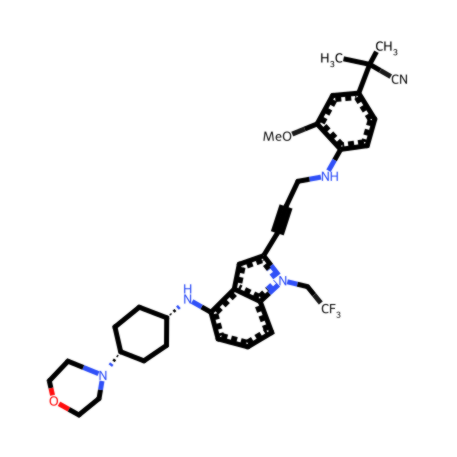 COc1cc(C(C)(C)C#N)ccc1NCC#Cc1cc2c(N[C@H]3CC[C@@H](N4CCOCC4)CC3)cccc2n1CC(F)(F)F